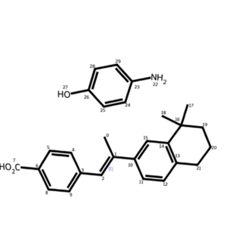 C/C(=C\c1ccc(C(=O)O)cc1)c1ccc2c(c1)C(C)(C)CCC2.Nc1ccc(O)cc1